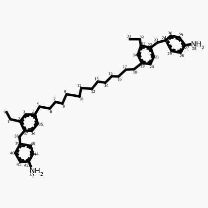 CCc1cc(CCCCCCCCCCCCCCc2ccc(Cc3ccc(N)cc3)c(CC)c2)ccc1Cc1ccc(N)cc1